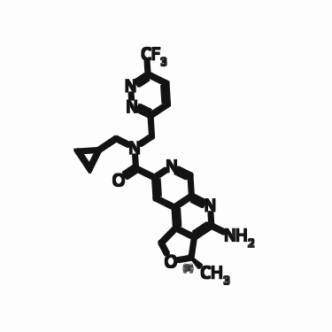 C[C@H]1OCc2c1c(N)nc1cnc(C(=O)N(Cc3ccc(C(F)(F)F)nn3)CC3CC3)cc21